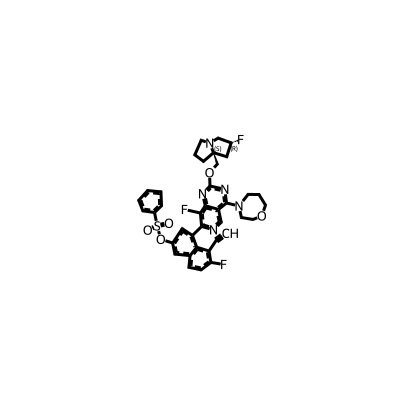 C#Cc1c(F)ccc2cc(OS(=O)(=O)c3ccccc3)cc(-c3ncc4c(N5CCCOCC5)nc(OC[C@@]56CCCN5C[C@H](F)C6)nc4c3F)c12